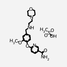 COc1cc(CNCCN2CCOCC2)ccc1Oc1ccc(C(N)=O)cn1.CS(=O)(=O)O